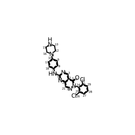 O=c1c2cnc(Nc3ccc(N4CCNCC4)cc3)nc2cnn1-c1c(Cl)cccc1Cl